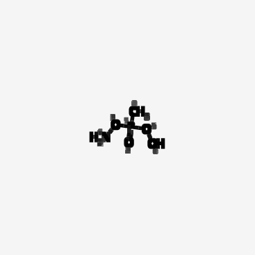 CP(=O)(ON)OO